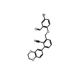 N#Cc1c(COc2ccc(Br)cc2C=O)cccc1-c1ccc2c(c1)OCCO2